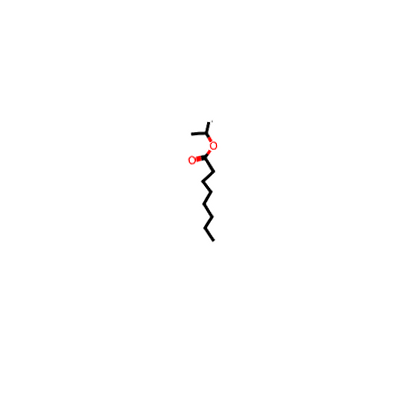 [CH2]C(C)OC(=O)CCCCCCC